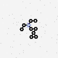 C1=CCCC(c2cccc(-c3nc(-c4cccc(-c5ccccc5)c4)nc(-c4cccc(-c5ccccc5-c5ccc6c7ccccc7c7ccccc7c6c5)c4)n3)c2)=C1